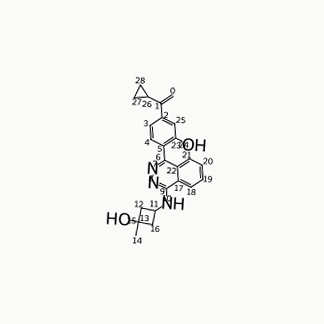 C=C(c1ccc(-c2nnc(NC3CC(C)(O)C3)c3ccccc23)c(O)c1)C1CC1